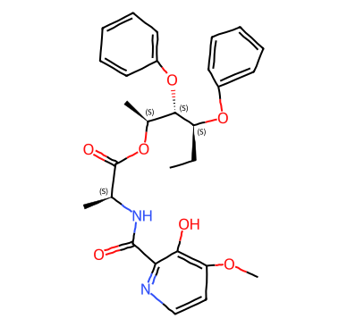 CC[C@H](Oc1ccccc1)[C@@H](Oc1ccccc1)[C@H](C)OC(=O)[C@H](C)NC(=O)c1nccc(OC)c1O